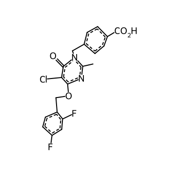 Cc1nc(OCc2ccc(F)cc2F)c(Cl)c(=O)n1Cc1ccc(C(=O)O)cc1